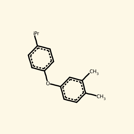 Cc1ccc(Oc2ccc(C(C)C)cc2)cc1C